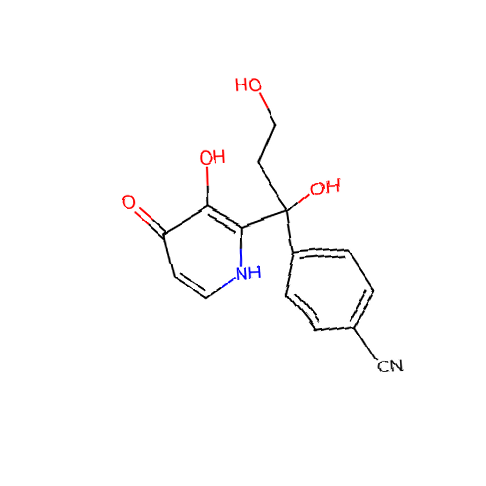 N#Cc1ccc(C(O)(CCO)c2[nH]ccc(=O)c2O)cc1